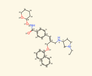 CCN1CCC(NC/C(=C/c2ccc(C(=O)NOC3CCCCO3)cc2)COc2cccc3ccccc23)C1